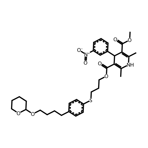 COC(=O)C1=C(C)NC(C)=C(C(=O)OCCCSc2ccc(CCCCOC3CCCCO3)cc2)C1c1cccc([N+](=O)[O-])c1